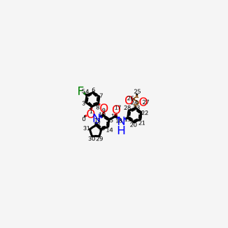 COc1cc(F)ccc1Oc1nc2c(cc1C(=O)Nc1cccc(S(C)(=O)=O)c1)CCC2